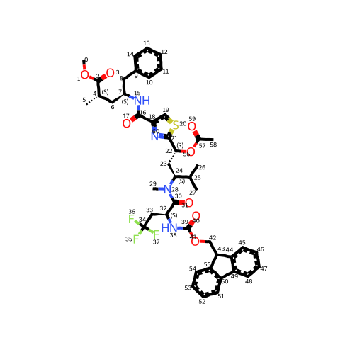 COC(=O)[C@@H](C)C[C@@H](Cc1ccccc1)NC(=O)c1csc([C@@H](C[C@@H](C(C)C)N(C)C(=O)[C@H](CC(F)(F)F)NC(=O)OCC2c3ccccc3-c3ccccc32)OC(C)=O)n1